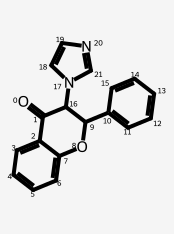 O=C1c2ccccc2OC(c2ccccc2)C1n1ccnc1